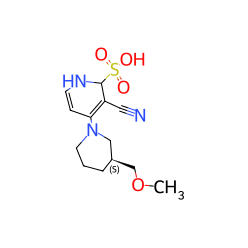 COC[C@H]1CCCN(C2=C(C#N)C(S(=O)(=O)O)NC=C2)C1